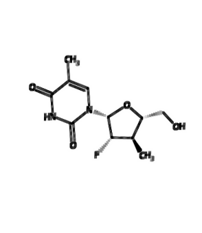 Cc1cn([C@@H]2O[C@H](CO)[C@@H](C)[C@@H]2F)c(=O)[nH]c1=O